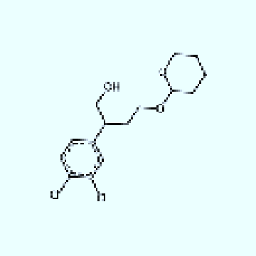 OCC(CCOC1CCCCO1)c1ccc(Cl)c(Cl)c1